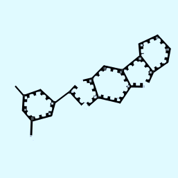 Brc1cc(Br)cc(-c2nc3cc4oc5ccccc5c4cc3o2)c1